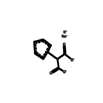 O=C([O-])C(C(=O)[O-])c1ccccc1.[K+].[Na+]